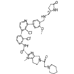 COc1cc(-c2nccc(-c3cccc(NC(=O)c4nc5c(n4C)CCN(C(=O)CN4CCCCC4)C5)c3Cl)c2Cl)ccc1CNC[C@H]1CCC(=O)N1